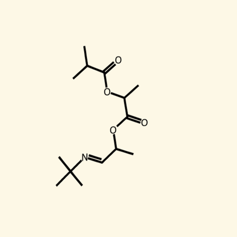 CC(/C=N/C(C)(C)C)OC(=O)C(C)OC(=O)C(C)C